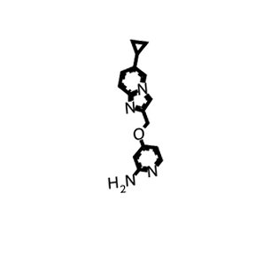 Nc1cc(OCc2cn3cc(C4CC4)ccc3n2)ccn1